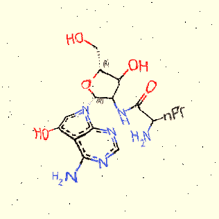 CCCC(N)C(=O)NC1C(O)[C@@H](CO)O[C@H]1n1cc(O)c2c(N)ncnc21